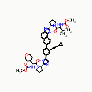 COC(=O)N[C@H](C(=O)N1CCC[C@H]1c1nc2ccc3cc(-c4ccc(-c5cnc([C@@H]6CCCN6C(=O)[C@H](NC(=O)OC)C6CCOCC6)[nH]5)cc4C#CC4CC4)ccc3c2[nH]1)C(C)C